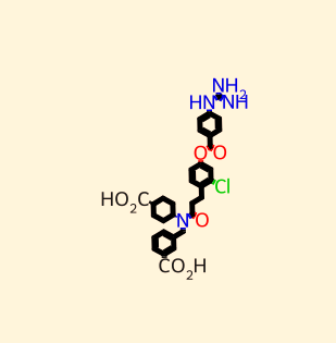 N=C(N)Nc1ccc(C(=O)Oc2ccc(CCC(=O)N(Cc3cccc(C(=O)O)c3)[C@H]3CC[C@H](C(=O)O)CC3)c(Cl)c2)cc1